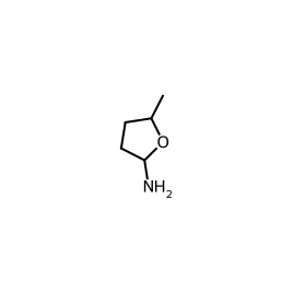 CC1CCC(N)O1